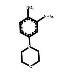 CC(=O)Nc1cc(N2CCOCC2)ccc1[N+](=O)[O-]